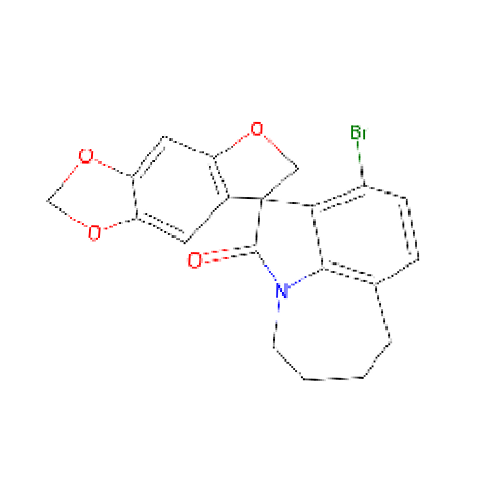 O=C1N2CCCCc3ccc(Br)c(c32)C12COc1cc3c(cc12)OCO3